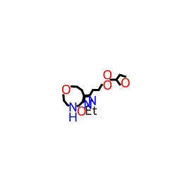 CCn1nc(CCCOC(=O)C2CCOC2)c2c1C(=O)NCCCOCCC2